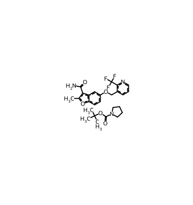 CC(C)(C)OC(=O)N1CCCC1.Cc1oc2ccc(OCc3cccnc3C(F)(F)F)cc2c1C(N)=O